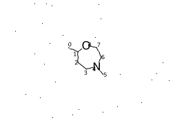 CC1CCN(C)CCO1